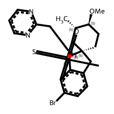 CO[C@H]1CC[C@@]2(Cc3ccc(Br)cc3[C@]23NC(=S)N(Cc2ncccn2)C3=O)C[C@@H]1C